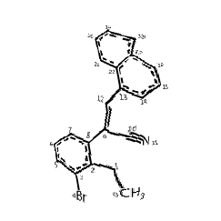 CCc1c(Br)cccc1C(C#N)=Cc1cccc2ccccc12